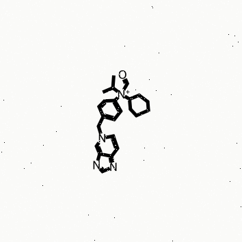 CC(C)[N+](C=O)(c1ccc(Cn2ccc3ncnc-3c2)cc1)C1CCCCC1